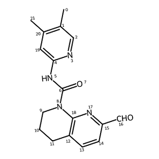 Cc1cnc(NC(=O)N2CCCc3ccc(C=O)nc32)cc1C